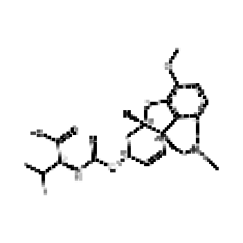 COc1ccc2c3c1O[C@H]1C[C@@H](OC(=O)N[C@H](C(=O)O)C(C)C)C=C[C@@]31CCN(C)C2